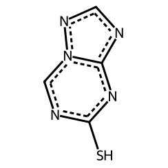 Sc1ncn2ncnc2n1